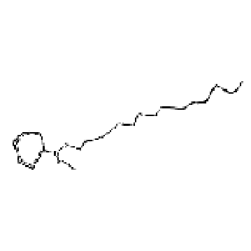 [CH2]CN(OCCCCCCCCCCCCCC)c1ccccc1